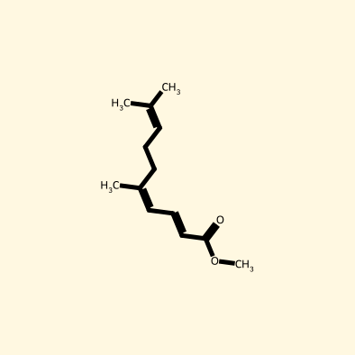 COC(=O)C=CC=C(C)CCC=C(C)C